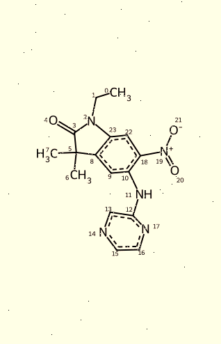 CCN1C(=O)C(C)(C)c2cc(Nc3cnccn3)c([N+](=O)[O-])cc21